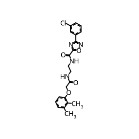 Cc1cccc(OCC(=O)NCCNC(=O)c2nc(-c3cccc(Cl)c3)no2)c1C